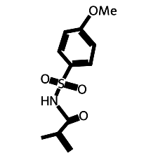 C=C(C)C(=O)NS(=O)(=O)c1ccc(OC)cc1